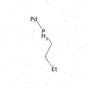 CCCC[PH3][Pd]